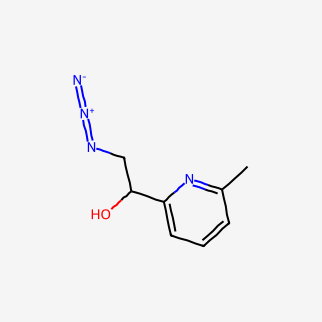 Cc1cccc(C(O)CN=[N+]=[N-])n1